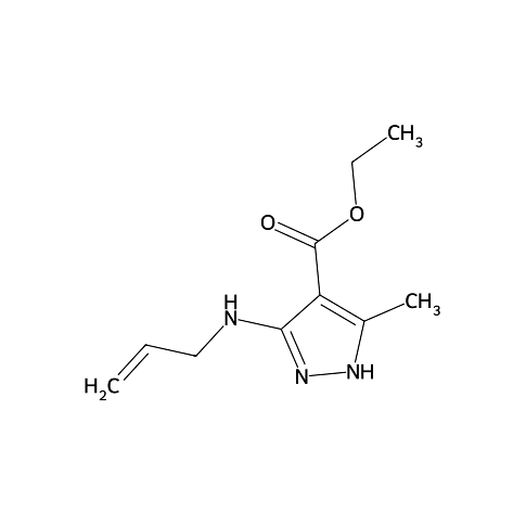 C=CCNc1n[nH]c(C)c1C(=O)OCC